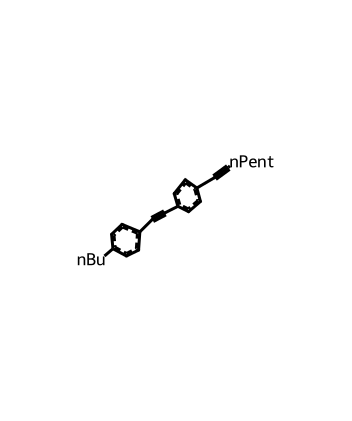 CCCCCC#Cc1ccc(C#Cc2ccc(CCCC)cc2)cc1